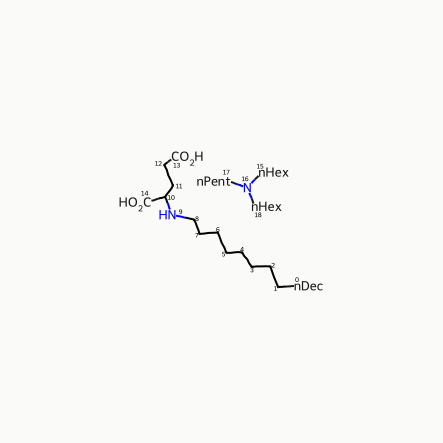 CCCCCCCCCCCCCCCCCCNC(CCC(=O)O)C(=O)O.CCCCCCN(CCCCC)CCCCCC